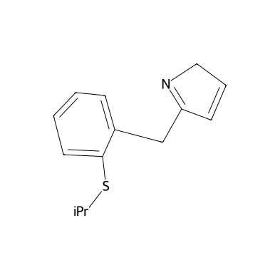 CC(C)Sc1ccccc1CC1=NCC=C1